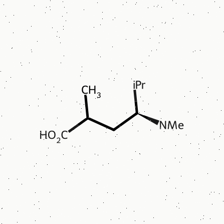 CN[C@@H](CC(C)C(=O)O)C(C)C